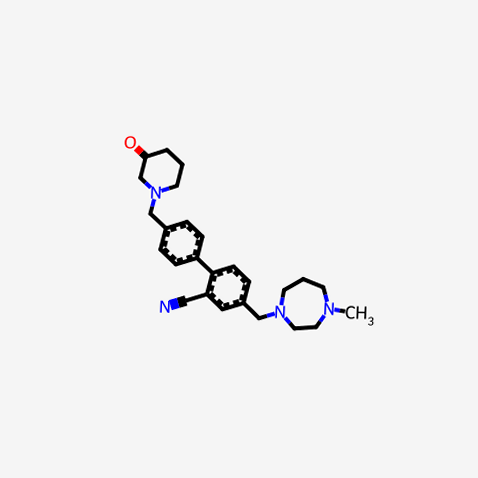 CN1CCCN(Cc2ccc(-c3ccc(CN4CCCC(=O)C4)cc3)c(C#N)c2)CC1